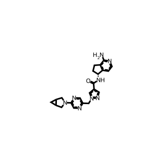 Nc1nccc2c1CC[C@H]2NC(=O)c1cnn(Cc2cnc(N3CC4CC4C3)cn2)c1